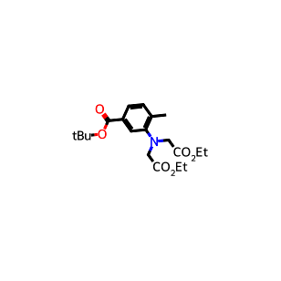 CCOC(=O)CN(CC(=O)OCC)c1cc(C(=O)OC(C)(C)C)ccc1C